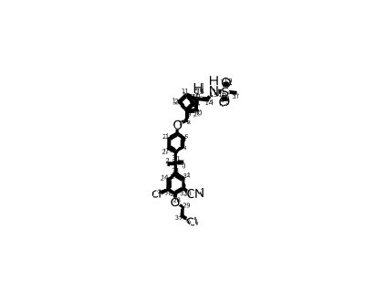 CC(C)(c1ccc(OCC23CC(C2)[C@@H](CNS(C)(=O)=O)C3)cc1)c1cc(Cl)c(OCCCl)c(C#N)c1